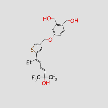 CCC(=CC=CC(O)(C(F)(F)F)C(F)(F)F)c1cc(COc2ccc(CO)c(CO)c2)cs1